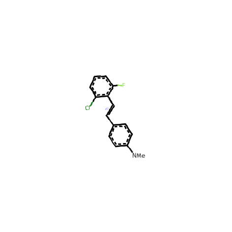 CNc1ccc(/C=C/c2c(F)cccc2Cl)cc1